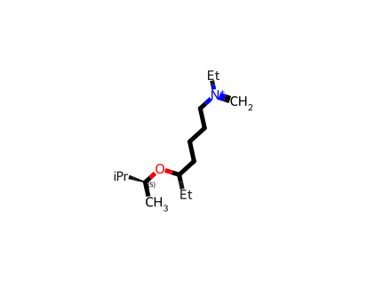 C=[N+](CC)CCCCC(CC)O[C@@H](C)C(C)C